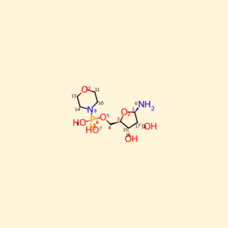 N[C@@H]1O[C@H](CO[PH](O)(O)N2CCOCC2)[C@@H](O)[C@H]1O